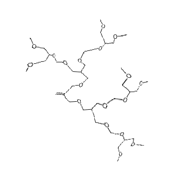 C=C(COCC(COCOC(COC)COC)COCOC(COC)COC)COCC(COCOC(COC)COC)COCOC(COC)COC